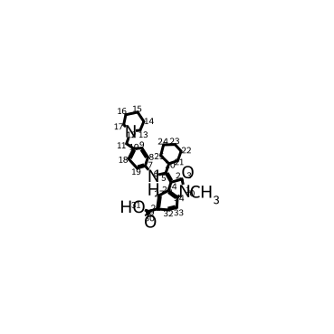 CN1C(=O)C(=C(Nc2ccc(CN3CCCCC3)cc2)C2CCCCC2)c2cc(C(=O)O)ccc21